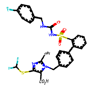 CCCc1nc(SC(F)F)c(C(=O)O)n1Cc1ccc(-c2ccccc2S(=O)(=O)NC(=O)NCc2ccc(F)cc2)cc1